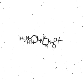 C[C@@H]1CN(C2=CCC(N)NC2)[C@@H](C)CN1C(=O)OC(C)(C)C